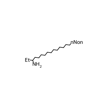 CCCCCCCCCCCCCCCCCCCCCC(N)CC